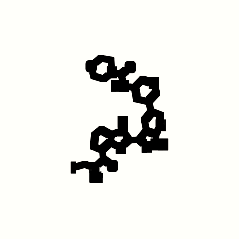 CCN(CI)C(=O)c1cccc2[nH]c(-c3n[nH]c4ncc(-c5cncc(NC(=O)N6CCOCC6)c5)cc34)nc12